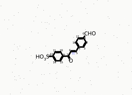 O=Cc1ccc(/C=C/C(=O)c2ccc(S(=O)(=O)O)cc2)cc1